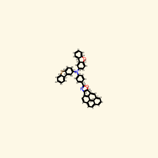 c1cc2ccc3ccc4c5c(cc(c1)c2c35)-c1oc(-c2ccc(N(c3ccc5oc6ccccc6c5c3)c3ccc5sc6ccccc6c5c3)cc2)nc1-4